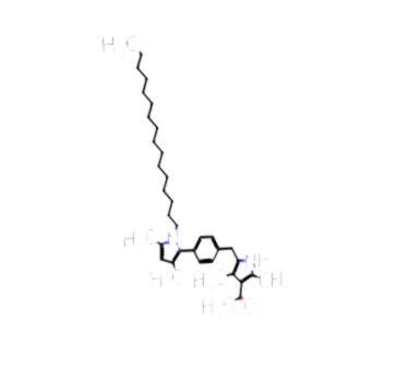 CCCCCCCCCCCCCCCCn1c(C)cc(C)c1-c1ccc(Cc2[nH]c(C)c(C(C)=O)c2C)cc1